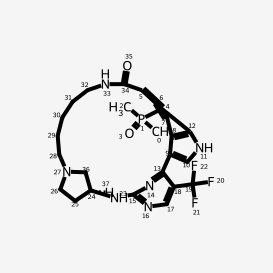 CP(C)(=O)c1c2ccc3c(c[nH]c13)-c1nc(ncc1C(F)(F)F)N[C@H]1CCN(CCCCCNC2=O)C1